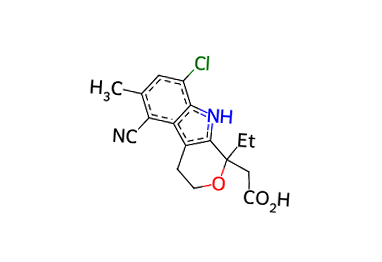 CCC1(CC(=O)O)OCCc2c1[nH]c1c(Cl)cc(C)c(C#N)c21